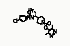 Cc1ncnc(C)c1OC(=O)N1CCC([C@@H](CC(C)C)NC(=O)c2ccc(Cl)cc2)CC1